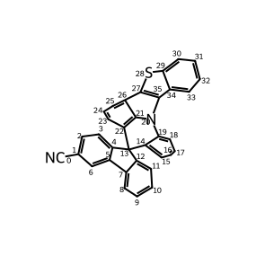 N#Cc1ccc2c(c1)-c1ccccc1C21c2ccccc2-n2c3c1cccc3c1sc3ccccc3c12